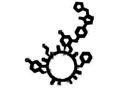 C[C@H]1CNC(=O)C[C@H](Cc2ccc(Cl)cc2)N(C)C(=O)[C@H](CCF)NC(=O)[C@H](C)N(Cc2ccc(Cl)cc2Oc2ccc(-c3cnc(CN4CCCC4)n3C)cc2)C(=O)C[C@@H](Cc2ccccc2)C(=O)N1C